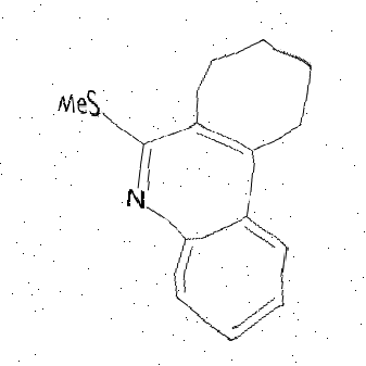 CSc1nc2ccccc2c2c1CCCC2